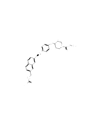 CCC(=O)NCc1ccc2ccc(C#[N+]c3ccc(OC4CCN(C(=O)OC(C)(C)C)CC4)cc3)cc2c1